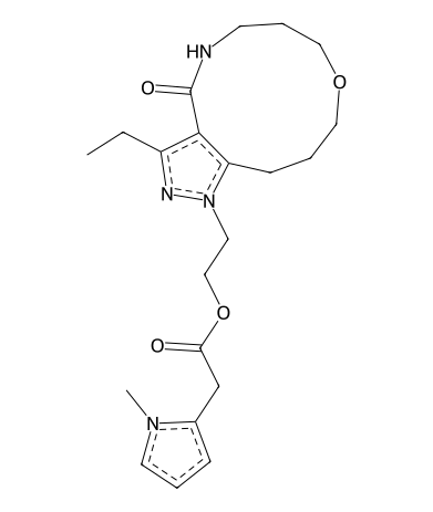 CCc1nn(CCOC(=O)Cc2cccn2C)c2c1C(=O)NCCCOCCC2